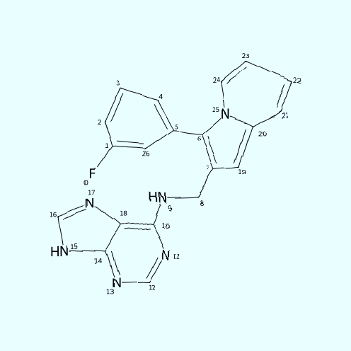 Fc1cccc(-c2c(CNc3ncnc4[nH]cnc34)cc3ccccn23)c1